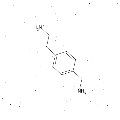 NC[CH]c1ccc(CN)cc1